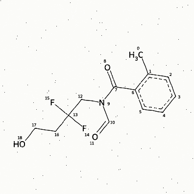 Cc1ccccc1C(=O)N(C=O)CC(F)(F)CCO